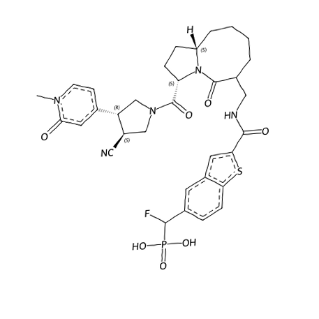 Cn1ccc([C@@H]2CN(C(=O)[C@@H]3CC[C@@H]4CCCCC(CNC(=O)c5cc6cc(C(F)P(=O)(O)O)ccc6s5)C(=O)N43)C[C@H]2C#N)cc1=O